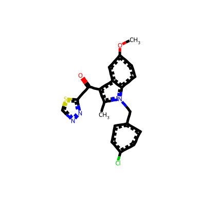 COc1ccc2c(c1)c(C(=O)c1nncs1)c(C)n2Cc1ccc(Cl)cc1